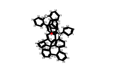 c1ccc(N(c2ccc3c(c2)-c2ccccc2Oc2ccccc2-3)c2ccc3c(c2)C2(c4ccccc4-c4ccccc4-3)c3ccccc3-c3cc4c(cc32)sc2ccccc24)cc1